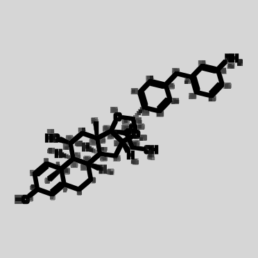 C[C@]12C=CC(O)C=C1CC[C@@H]1[C@@H]2[C@@H](O)C[C@@]2(C)[C@H]1C[C@H]1O[C@@H](c3ccc(Cc4cccc(N)c4)cc3)O[C@]12C(=O)CO